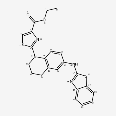 CCOC(=O)c1csc(N2CCCc3cc(Nc4nc5ccccc5s4)ccc32)n1